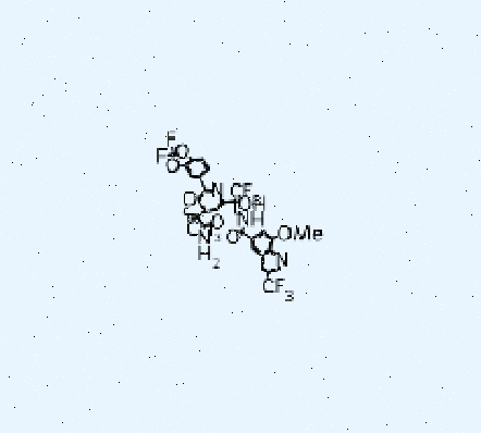 COc1cc(C(=O)NCC(O)(c2cc3c(c(-c4ccc5c(c4)OC(F)(F)O5)n2)OC[C@]3(C)C(N)=O)C(F)(F)F)cc2cc(C(F)(F)F)cnc12